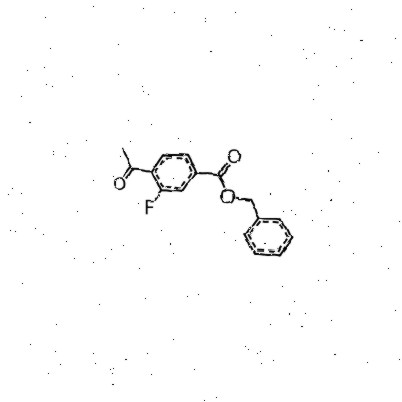 CC(=O)c1ccc(C(=O)OCc2ccccc2)cc1F